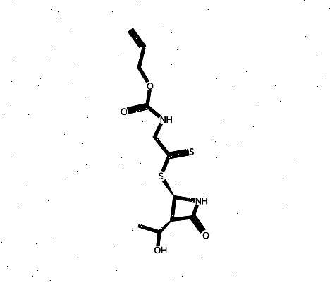 C=CCOC(=O)NCC(=S)S[C@H]1NC(=O)[C@H]1C(C)O